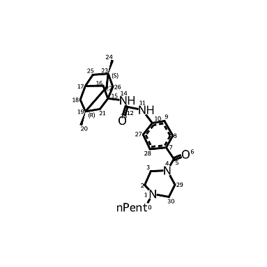 CCCCCN1CCN(C(=O)c2ccc(NC(=O)NC34CC5C[C@@](C)(C3)C[C@](C)(C5)C4)cc2)CC1